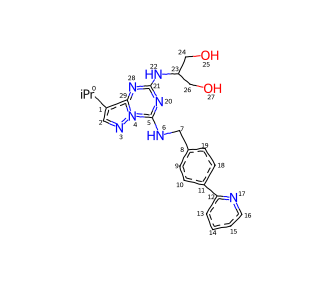 CC(C)c1cnn2c(NCc3ccc(-c4ccccn4)cc3)nc(NC(CO)CO)nc12